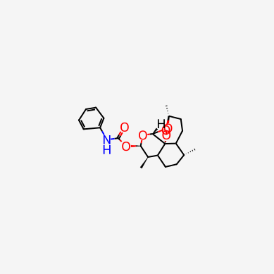 C[C@@H]1CCC2[C@@H](C)[C@@H](OC(=O)Nc3ccccc3)O[C@@H]3O[C@]4(C)CCC1[C@@]23OO4